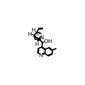 C=C[C@H]1C[N@]2CC[C@H]1C[C@H]2[C@H](O)c1ccnc2ccc(C)cc12